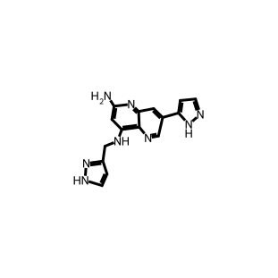 Nc1cc(NCc2cc[nH]n2)c2ncc(-c3ccn[nH]3)cc2n1